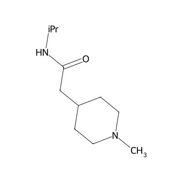 CC(C)NC(=O)CC1CCN(C)CC1